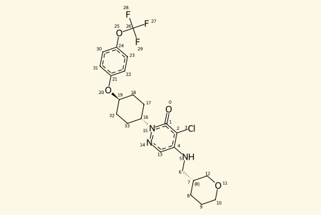 O=c1c(Cl)c(NC[C@H]2CCCOC2)cnn1[C@H]1CC[C@H](Oc2ccc(OC(F)(F)F)cc2)CC1